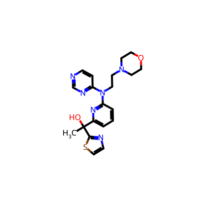 CC(O)(c1cccc(N(CCN2CCOCC2)c2ccncn2)n1)c1nccs1